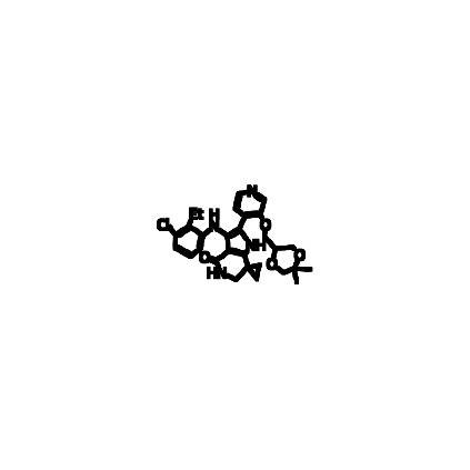 CCc1c(Cl)cccc1Nc1c(-c2ccncc2OCC2COC(C)(C)CO2)[nH]c2c1C(=O)NCC21CC1